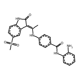 CC(Nc1ccc(C(=O)Nc2ccccc2N)cc1)=C1C(=O)Nc2ccc(S(C)(=O)=O)cc21